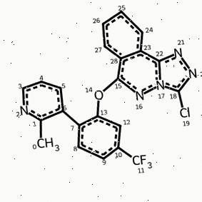 Cc1ncccc1-c1ccc(C(F)(F)F)cc1Oc1nn2c(Cl)nnc2c2ccccc12